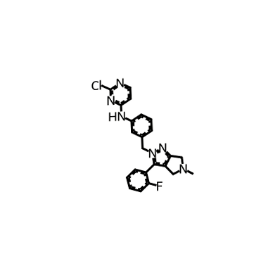 CN1Cc2nn(Cc3cccc(Nc4ccnc(Cl)n4)c3)c(-c3ccccc3F)c2C1